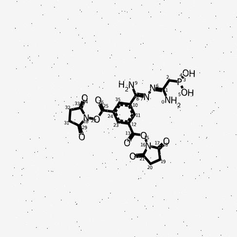 N/C(CP(O)O)=N\N=C(/N)c1cc(C(=O)ON2C(=O)CCC2=O)cc(C(=O)ON2C(=O)CCC2=O)c1